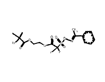 CCC(C)(C)C(=O)OCCOC(=O)C(F)(F)S(=O)(=O)O/N=C(/c1ccccc1)C(F)(F)F